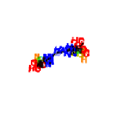 O=[PH](S)OC1C(CO)OC(n2cnc3c(NC/C=C/CCNc4ncnc5c4ncn5C4O[C@H](CO)[C@@H](O[PH](=O)S)[C@H]4F)ncnc32)[C@@H]1F